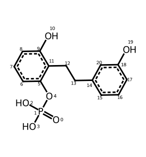 O=P(O)(O)Oc1cccc(O)c1CCc1cccc(O)c1